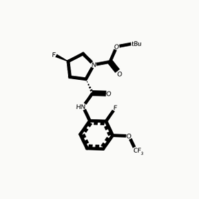 CC(C)(C)OC(=O)N1C[C@H](F)C[C@H]1C(=O)Nc1cccc(OC(F)(F)F)c1F